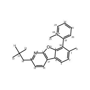 Cc1ccc2c(oc3nc(CC(C)(C)C)ccc32)c1-c1cccc[n+]1C